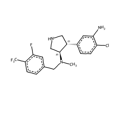 CN(Cc1ccc(C(F)(F)F)c(F)c1)[C@H]1CNC[C@@H]1c1ccc(Cl)c(N)c1